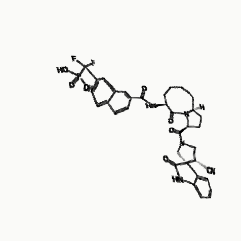 N#C[C@H]1CN(C(=O)[C@@H]2CC[C@@H]3CCCC[C@H](NC(=O)c4ccc5ccc(C(F)(F)P(=O)(O)O)cc5c4)C(=O)N32)C[C@]12C(=O)Nc1ccccc12